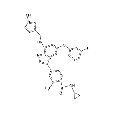 Cc1cc(-c2cnc3c(NCc4ccn(C)n4)cc(Oc4cccc(F)c4)nn23)ccc1C(=O)NC1CC1